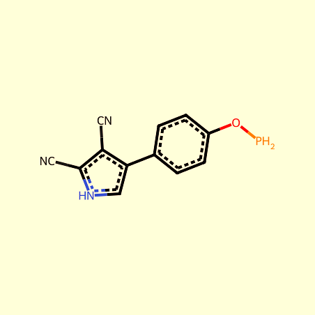 N#Cc1[nH]cc(-c2ccc(OP)cc2)c1C#N